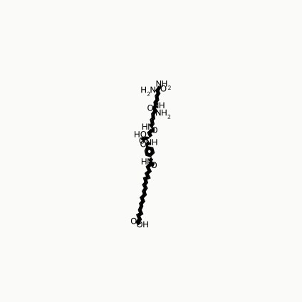 NC(=O)[C@@H](N)CCCCNC(=O)[C@@H](N)CCCCNC(=O)CC[C@H](NC(=O)[C@H]1CC[C@H](CNC(=O)CCCCCCCCCCCCCCCCCCC(=O)O)CC1)C(=O)O